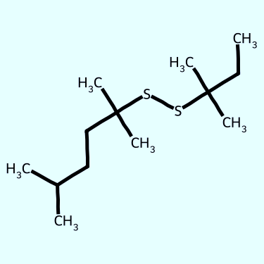 CCC(C)(C)SSC(C)(C)CCC(C)C